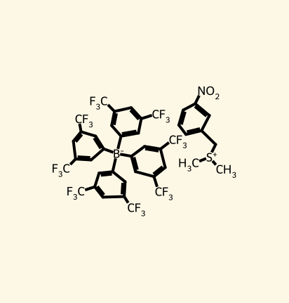 C[S+](C)Cc1cccc([N+](=O)[O-])c1.FC(F)(F)c1cc([B-](c2cc(C(F)(F)F)cc(C(F)(F)F)c2)(c2cc(C(F)(F)F)cc(C(F)(F)F)c2)c2cc(C(F)(F)F)cc(C(F)(F)F)c2)cc(C(F)(F)F)c1